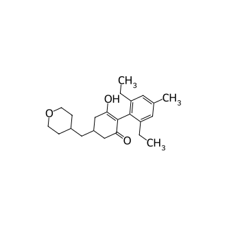 CCc1cc(C)cc(CC)c1C1=C(O)CC(CC2CCOCC2)CC1=O